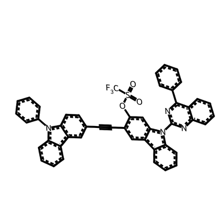 O=S(=O)(Oc1cc2c(cc1C#Cc1ccc3c(c1)c1ccccc1n3-c1ccccc1)c1ccccc1n2-c1nc(-c2ccccc2)c2ccccc2n1)C(F)(F)F